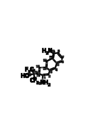 Nc1cc2cc3cccc(N)c3cc2cc1C(O)(C(F)(F)F)C(F)(F)F